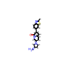 Cc1nc2ccc(C3=C\C(=O)N4C=C(N5CCC(N)C5)C=C\C4=C/C=C/3)cc2s1